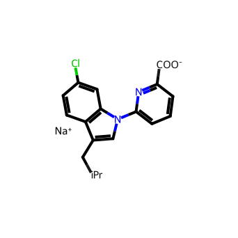 CC(C)Cc1cn(-c2cccc(C(=O)[O-])n2)c2cc(Cl)ccc12.[Na+]